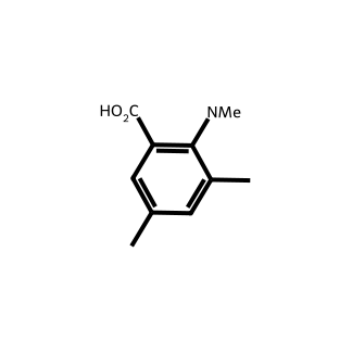 CNc1c(C)cc(C)cc1C(=O)O